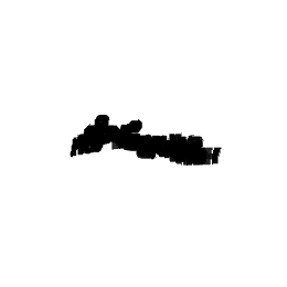 C=CCc1c2c(nc3ccc(OC(=O)N4CCN(c5ncc(C(=O)NO)cn5)CC4)cc13)-c1cc3c(c(=O)n1C2)CCC(=O)[C@]3(O)CC